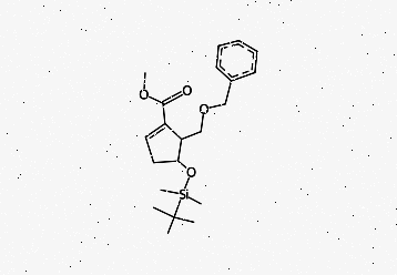 COC(=O)C1=CCC(O[Si](C)(C)C(C)(C)C)C1COCc1ccccc1